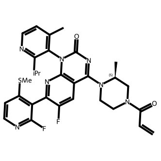 C=CC(=O)N1CCN(c2nc(=O)n(-c3c(C)ccnc3C(C)C)c3nc(-c4c(SC)ccnc4F)c(F)cc23)[C@@H](C)C1